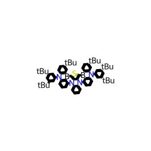 CC(C)(C)c1cc(N2c3ccc(C(C)(C)C)cc3B3c4sc5c6c4N(c4ccccc4N6c4cccc6c4B5c4ccc(C(C)(C)C)cc4N6c4cc(C(C)(C)C)cc(C(C)(C)C)c4)c4cccc2c43)cc(C(C)(C)C)c1